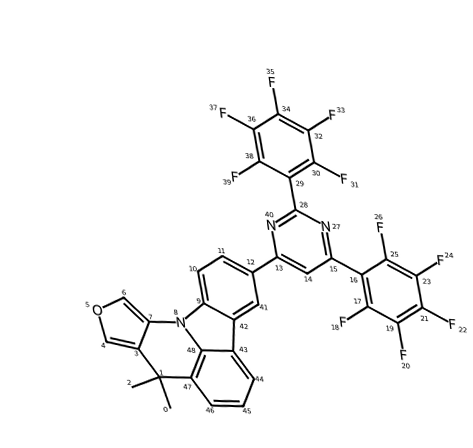 CC1(C)c2cocc2-n2c3ccc(-c4cc(-c5c(F)c(F)c(F)c(F)c5F)nc(-c5c(F)c(F)c(F)c(F)c5F)n4)cc3c3cccc1c32